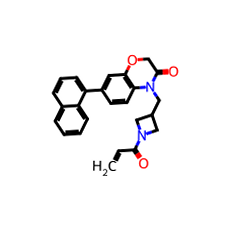 C=CC(=O)N1CC(CN2C(=O)COc3cc(-c4cccc5ccccc45)ccc32)C1